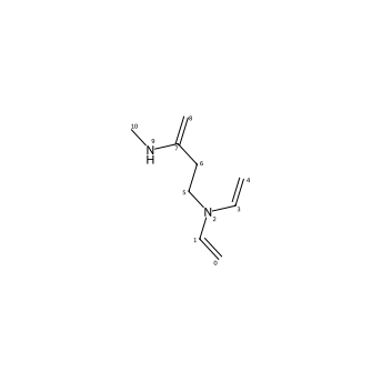 C=CN(C=C)CCC(=C)NC